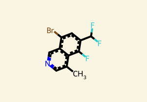 Cc1cncc2c(Br)cc(C(F)F)c(F)c12